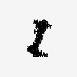 COC(=O)NC(C(=O)N1CC(F)(F)C[C@H]1c1ncc(-c2cnc(-c3ccc(-c4c[nH]c([C@@H]5Cc6cccc7c6N5C(=O)[C@@H](NC(=O)OC)CC7)n4)cc3)nc2)[nH]1)C(C)C